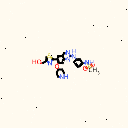 CS(=O)(=O)Nc1cccc(Nc2ncc3cc(-c4nc(CO)cs4)c(OC4CCNCC4)cc3n2)c1